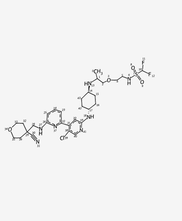 CC(COCCNS(=O)(=O)C(F)F)N[C@H]1CC[C@H](Nc2cc(-c3cccc(NCC4(C#N)CCOCC4)n3)c(Cl)cn2)CC1